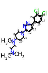 CN(C)CCN(C)C1CCN(c2ccc(-c3ccc(Cl)c(Cl)c3)nn2)CC1